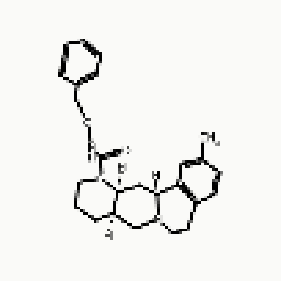 Cc1ccc2c(c1)[C@H]1C[C@H]3[C@H](CCCN3C(=O)NCCc3ccccc3)CN1CC2